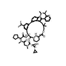 CCn1c(-c2cccnc2C(C)C)c2c3cc(ccc31)-c1cc(cc(C(F)F)c1)C[C@H](NC(=O)[C@H](C1CCCC1)N(C)C(=O)CN(C)C(=O)[C@@H]1N[C@@H]1C1CC1)C(=O)N1CCC[C@H](N1)C(=O)OCC(C)(C)C2